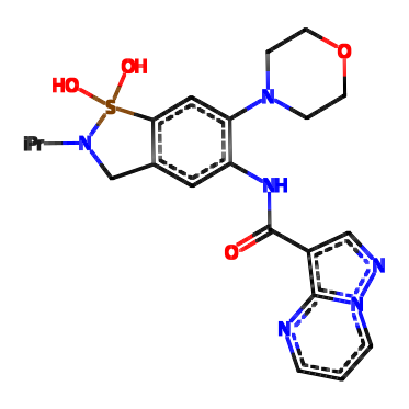 CC(C)N1Cc2cc(NC(=O)c3cnn4cccnc34)c(N3CCOCC3)cc2S1(O)O